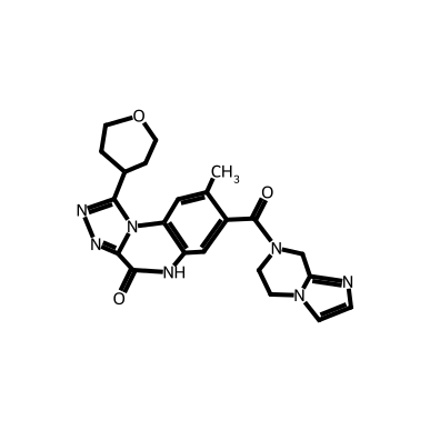 Cc1cc2c(cc1C(=O)N1CCn3ccnc3C1)[nH]c(=O)c1nnc(C3CCOCC3)n12